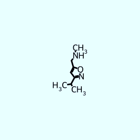 CNCc1cc(C(C)C)no1